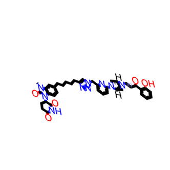 Cn1c(=O)n(C2CCC(=O)NC2=O)c2ccc(CCCCCc3cn(Cc4cccc(N5C[C@H]6C[C@@H]5CN6/C=C/C(=O)c5ccccc5O)n4)nn3)cc21